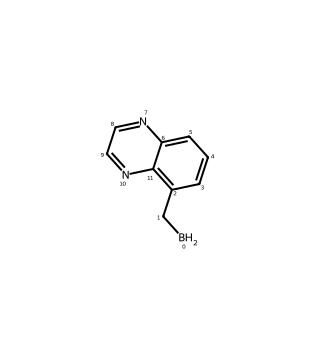 BCc1cccc2nccnc12